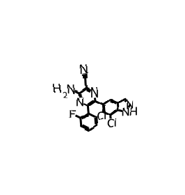 N#Cc1nc(-c2cc(Cl)c3[nH]ncc3c2)c(-c2c(F)cccc2Cl)nc1N